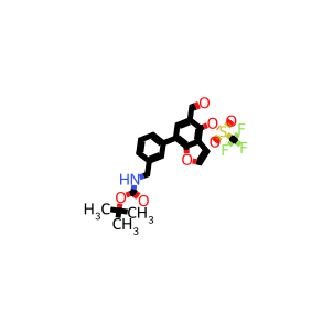 CC(C)(C)OC(=O)NCc1cccc(-c2cc(C=O)c(OS(=O)(=O)C(F)(F)F)c3ccoc23)c1